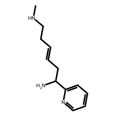 CNCC/C=C/CC(N)c1ccccn1